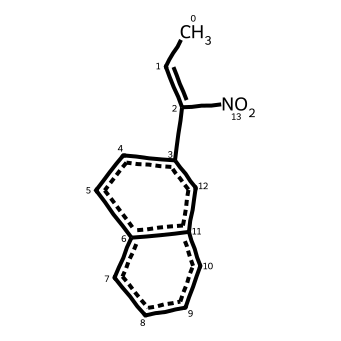 CC=C(c1ccc2ccccc2c1)[N+](=O)[O-]